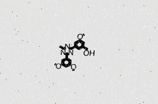 COc1cc(CO)cc(-c2nc(C)nc(-c3cc(OC)cc(OC)c3)n2)c1